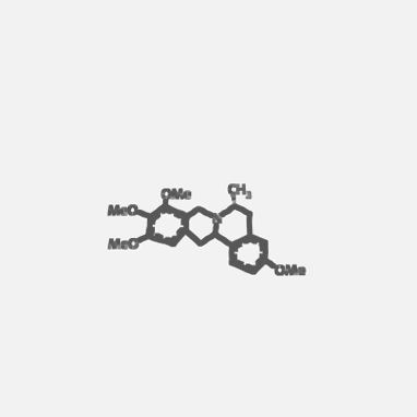 COc1ccc2c(c1)C[C@@H](C)N1Cc3c(cc(OC)c(OC)c3OC)CC21